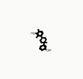 Cc1ccc(C2CCC(C)(c3cccc(O)c3)CC2)c(C)c1O